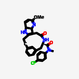 COC1=NC2C3=C(CCc4cccc(c4)C[C@@H](C(=O)N(C)c4ccc(Cl)cc4)NC(=O)C3)NC2C=C1